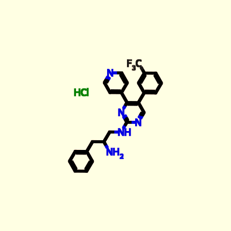 Cl.NC(CNc1ncc(-c2cccc(C(F)(F)F)c2)c(-c2ccncc2)n1)Cc1ccccc1